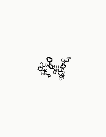 CCOC(=O)N1CCN(C(=O)C(CC2COC(C)(C)O2)NC(=O)c2cc(OCC(=O)N3CCCC3C(=O)NC3CCC3)n(-c3ccccc3)n2)CC1